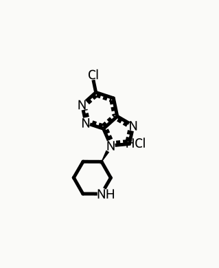 Cl.Clc1cc2ncn([C@@H]3CCCNC3)c2nn1